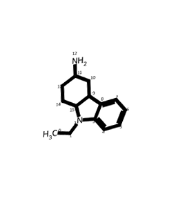 CCN1c2ccccc2C2CC(N)CCC21